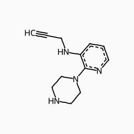 C#CCNc1cccnc1N1CCNCC1